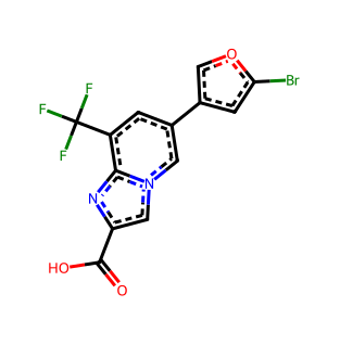 O=C(O)c1cn2cc(-c3coc(Br)c3)cc(C(F)(F)F)c2n1